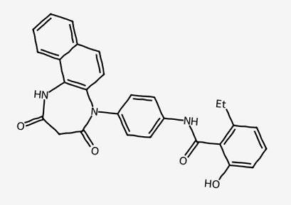 CCc1cccc(O)c1C(=O)Nc1ccc(N2C(=O)CC(=O)Nc3c2ccc2ccccc32)cc1